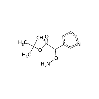 CC(C)(C)OC(=O)C(ON)c1cccnc1